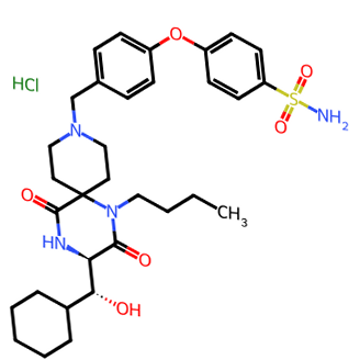 CCCCN1C(=O)[C@@H]([C@H](O)C2CCCCC2)NC(=O)C12CCN(Cc1ccc(Oc3ccc(S(N)(=O)=O)cc3)cc1)CC2.Cl